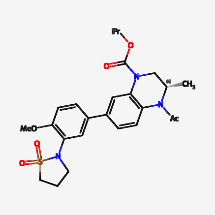 COc1ccc(-c2ccc3c(c2)N(C(=O)OC(C)C)C[C@H](C)N3C(C)=O)cc1N1CCCS1(=O)=O